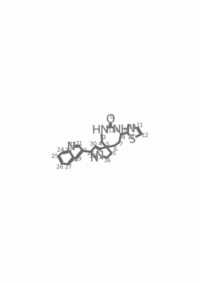 O=C1NCCC2(CCC(c3nccs3)N1)CCn1nc(-c3cnc4ccccc4c3)cc12